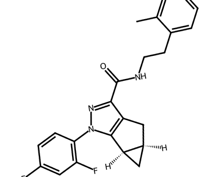 Cc1ccccc1CCNC(=O)c1nn(-c2ccc(F)cc2F)c2c1C[C@H]1C[C@@H]21